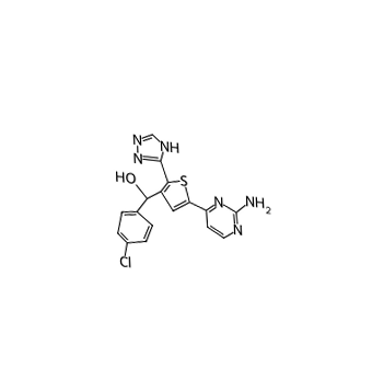 Nc1nccc(-c2cc(C(O)c3ccc(Cl)cc3)c(-c3nnc[nH]3)s2)n1